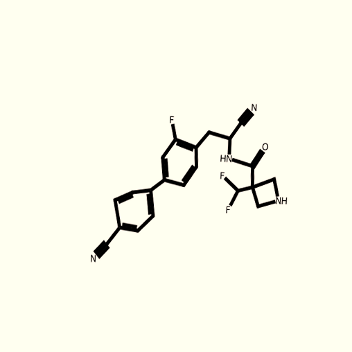 N#Cc1ccc(-c2ccc(CC(C#N)NC(=O)C3(C(F)F)CNC3)c(F)c2)cc1